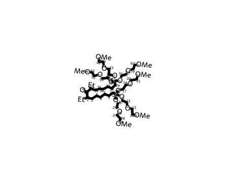 CCC(CCCCCC[Si](OCCOCCOC)(OCCOCCOC)OCCOCCOC)C(=O)C(CC)CCCCCC[Si](OCCOCCOC)(OCCOCCOC)OCCOCCOC